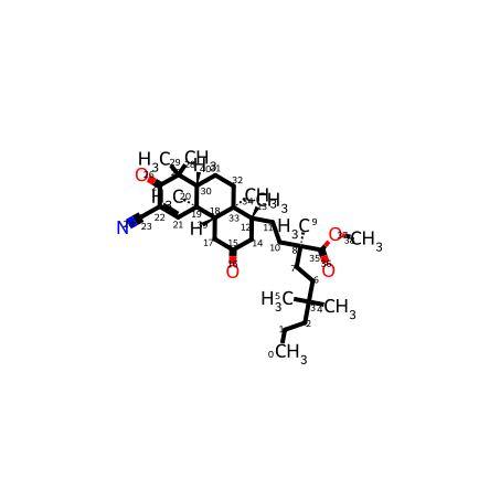 CCCC(C)(C)CC[C@@](C)(CC[C@]1(C)CC(=O)C[C@@H]2[C@@]3(C)C=C(C#N)C(=O)C(C)(C)[C@@H]3CC[C@]21C)C(=O)OC